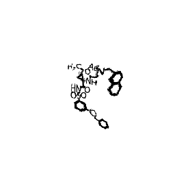 C=C[C@@H]1C[C@]1(NC(=O)CN(Cc1ccc2ccccc2c1)C(C)=O)C(=O)NS(=O)(=O)c1cccc(OCc2ccccc2)c1